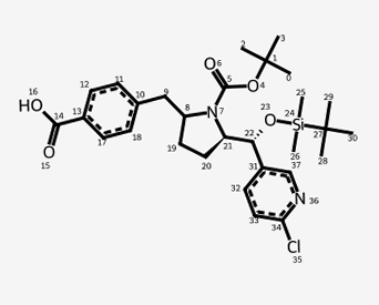 CC(C)(C)OC(=O)N1C(Cc2ccc(C(=O)O)cc2)CC[C@@H]1[C@H](O[Si](C)(C)C(C)(C)C)c1ccc(Cl)nc1